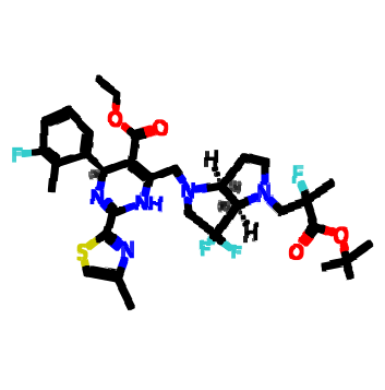 CCOC(=O)C1=C(CN2CC(F)(F)[C@H]3[C@@H]2CCN3CC(C)(F)C(=O)OC(C)(C)C)NC(c2nc(C)cs2)=N[C@H]1c1cccc(F)c1C